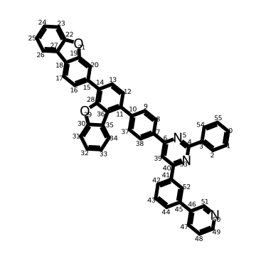 c1ccc(-c2nc(-c3ccc(-c4ccc(-c5ccc6c(c5)oc5ccccc56)c5oc6ccccc6c45)cc3)cc(-c3cccc(-c4cccnc4)c3)n2)cc1